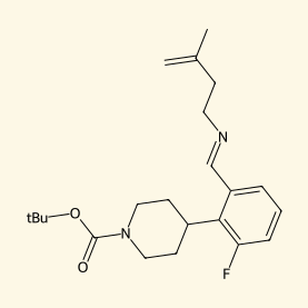 C=C(C)CC/N=C/c1cccc(F)c1C1CCN(C(=O)OC(C)(C)C)CC1